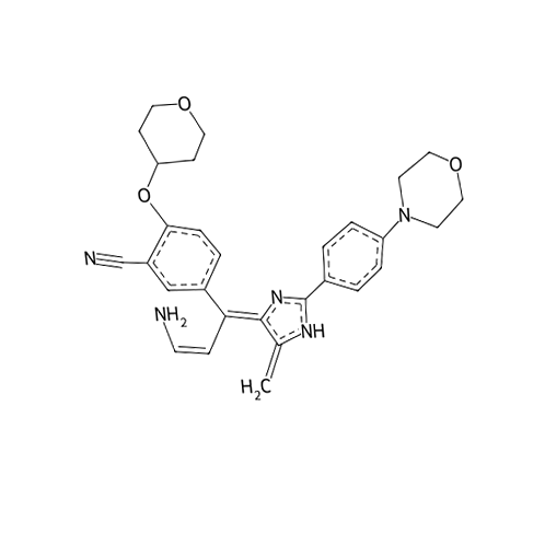 C=c1[nH]c(-c2ccc(N3CCOCC3)cc2)n/c1=C(/C=C\N)c1ccc(OC2CCOCC2)c(C#N)c1